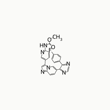 COC(=O)Nc1ccc(-c2cnc3ccc(-c4nccnc4-c4ccc(F)cc4)cn23)cn1